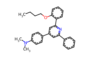 CCCCOc1ccccc1-c1cc(-c2ccc(N(C)C)cc2)cc(-c2ccccc2)n1